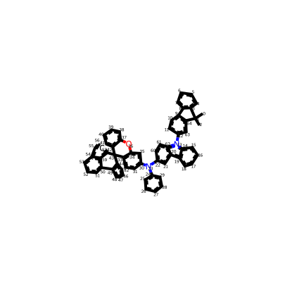 CC1(C)c2ccccc2-c2ccc(-n3c4ccccc4c4cc(N(c5ccccc5)c5ccc6c(c5)Oc5ccccc5C65c6ccccc6-c6cccc7cccc5c67)ccc43)cc21